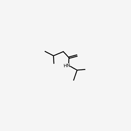 C=C(CC(C)C)NC(C)C